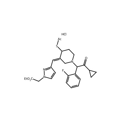 CCOC(=O)Cn1ccc(/C=C2\CN(C(C(=O)C3CC3)c3ccccc3F)CCC2SC(C)=O)n1.Cl